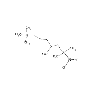 CC(C)(CC(O)CCC[N+](C)(C)C)N(Cl)Cl